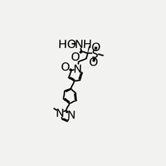 Cn1ccnc1-c1ccc(-c2ccn(CC[C@](C)(C(=O)NO)S(C)(=O)=O)c(=O)c2)cc1